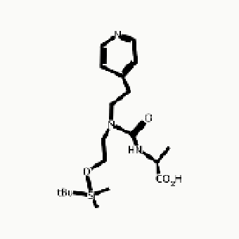 C[C@H](NC(=O)N(CCO[Si](C)(C)C(C)(C)C)CCc1ccncc1)C(=O)O